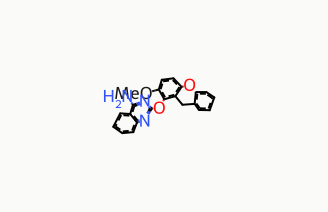 COc1ccc2c(c1Oc1nc(N)c3ccccc3n1)Cc1ccccc1O2